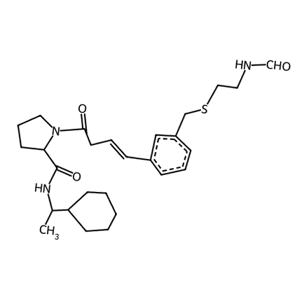 CC(NC(=O)C1CCCN1C(=O)C/C=C/c1cccc(CSCCNC=O)c1)C1CCCCC1